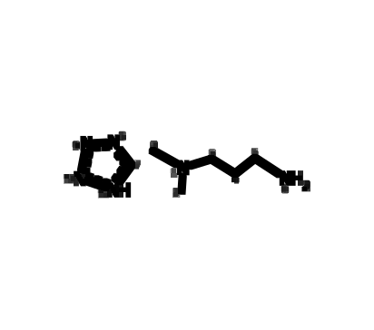 CN(C)CCCN.c1nnn[nH]1